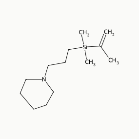 C=C(C)[Si](C)(C)CCCN1CCCCC1